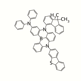 CC1(C)c2ccccc2-c2c(N3c4cc(N(c5ccccc5)c5ccccc5)ccc4B4c5ccccc5N(c5ccc6c(c5)sc5ccccc56)c5cccc3c54)cccc21